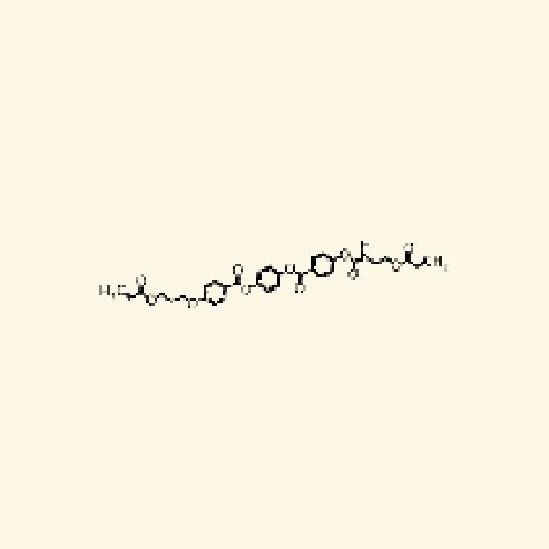 C=CC(=O)OCCCOc1ccc(C(=O)Oc2ccc(OC(=O)c3ccc(OC(=O)NCCOC(=O)C=C)cc3)cc2)cc1